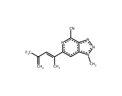 C=C(/C=C(\C)c1cc2c(nnn2C)c(C#N)n1)C(F)(F)F